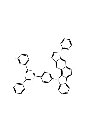 c1ccc(-c2nc(-c3ccccc3)nc(-c3ccc(-n4c5ccccc5c5ccc6cc7c(ccn7-c7ccccc7)cc6c54)cc3)n2)cc1